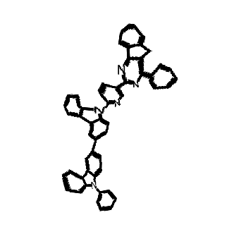 c1ccc(-c2nc(-c3ccc(-n4c5ccccc5c5cc(-c6ccc7c(c6)c6ccccc6n7-c6ccccc6)ccc54)nc3)nc3c2Cc2ccccc2-3)cc1